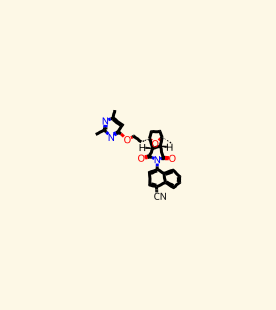 Cc1cc(OCC[C@]23CC[C@](C)(O2)[C@@H]2C(=O)N(c4ccc(C#N)c5ccccc45)C(=O)[C@@H]23)nc(C)n1